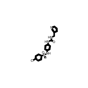 O=C(NCc1cccnc1)Nc1ccc(NS(=O)(=O)c2ccc(Cl)cc2)cc1